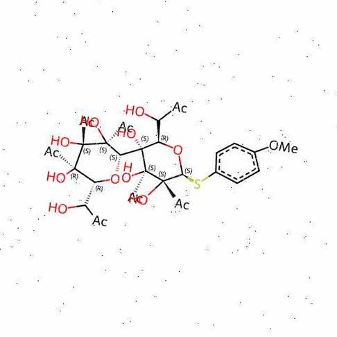 COc1ccc(S[C@@H]2O[C@H](C(O)C(C)=O)[C@](O)([C@@H]3O[C@H](C(O)C(C)=O)[C@](O)(C(C)=O)[C@@](O)(C(C)=O)[C@]3(O)C(C)=O)[C@@](O)(C(C)=O)[C@]2(O)C(C)=O)cc1